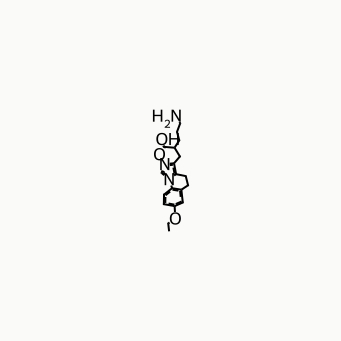 CCOc1ccc2c(c1)CCc1c(CC(CCCN)C(=O)O)ncn1-2